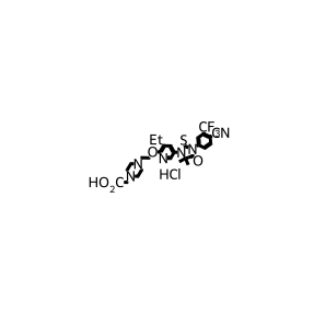 CCc1cc(N2C(=S)N(c3ccc(C#N)c(C(F)(F)F)c3)C(=O)C2(C)C)cnc1OCCN1CCN(CC(=O)O)CC1.Cl